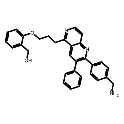 NCc1ccc(-c2nc3ccnc(CCCOc4ccccc4CO)c3cc2-c2ccccc2)cc1